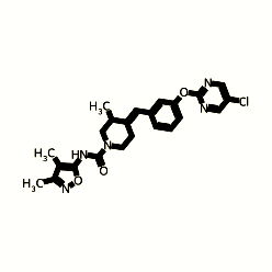 Cc1noc(NC(=O)N2CCC(=Cc3cccc(Oc4ncc(Cl)cn4)c3)C(C)C2)c1C